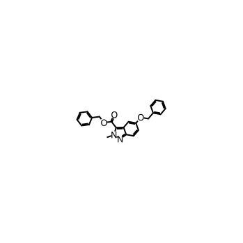 Cn1nc2ccc(OCc3ccccc3)cc2c1C(=O)OCc1ccccc1